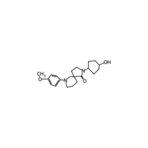 COc1ccc(N2CCCC3(CCN(C4CCC(O)CC4)C3=O)C2)cc1